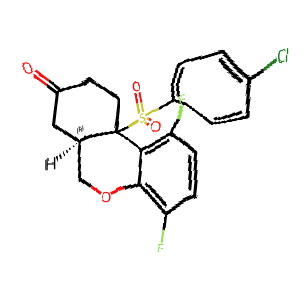 O=C1CCC2(S(=O)(=O)c3ccc(Cl)cc3)c3c(F)ccc(F)c3OC[C@H]2C1